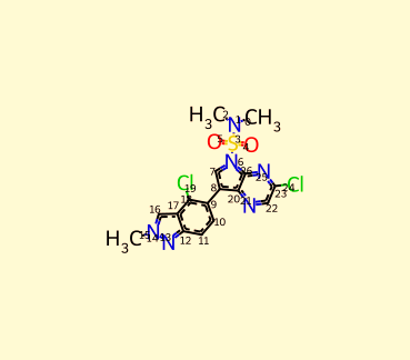 CN(C)S(=O)(=O)n1cc(-c2ccc3nn(C)cc3c2Cl)c2ncc(Cl)nc21